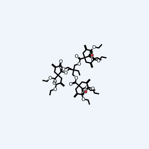 C=C(CC(CC(=C)C(=O)OCC)(C(=O)OCC)C(=O)OCC(CC)(COC(=O)C(CC(=C)C(=O)OCC)(CC(=C)C(=O)OCC)C(=O)OCC)COC(=O)C(CC(=C)C(=O)OCC)(CC(=C)C(=O)OCC)C(=O)OCC)C(=O)OCC